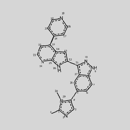 Cc1ncc(-c2ccc3[nH]nc(-c4cc5c(-c6ccncc6)ccnc5[nH]4)c3c2)n1C